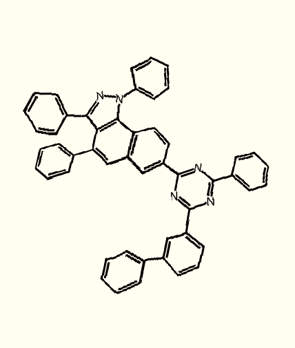 c1ccc(-c2cccc(-c3nc(-c4ccccc4)nc(-c4ccc5c(c4)cc(-c4ccccc4)c4c(-c6ccccc6)nn(-c6ccccc6)c45)n3)c2)cc1